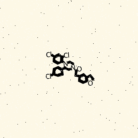 O=C(Cc1ccc2c(c1)CCO2)N1CCN(c2ccc(Cl)cc2Cl)C(c2ccc(Cl)cc2)C1